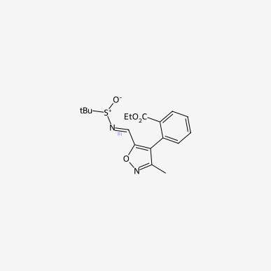 CCOC(=O)c1ccccc1-c1c(C)noc1/C=N/[S+]([O-])C(C)(C)C